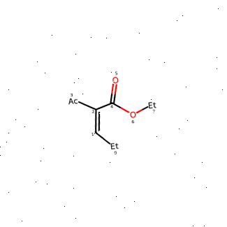 CCC=C(C(C)=O)C(=O)OCC